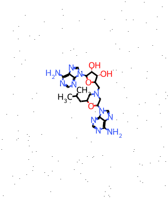 CC(C)CC1CN(CC2OC(n3cnc4c(N)ncnc43)[C@H](O)[C@@H]2O)CC(n2cnc3c(N)ncnc32)O1